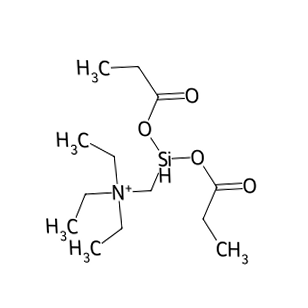 CCC(=O)O[SiH](C[N+](CC)(CC)CC)OC(=O)CC